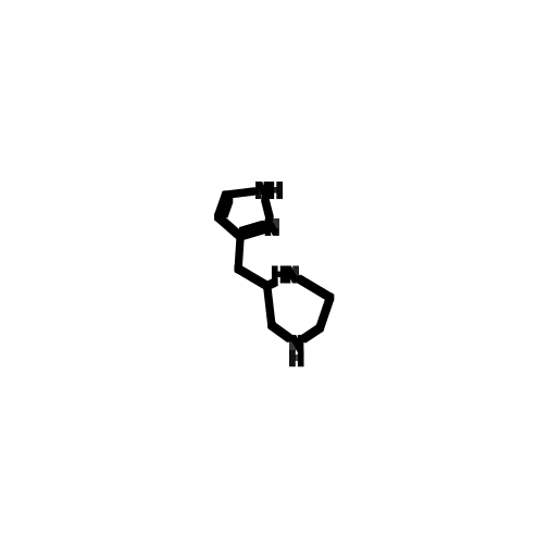 c1cc(CC2CNCCN2)n[nH]1